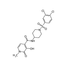 Cn1ccc(C(=O)NC2CCN(S(=O)(=O)c3ccc(Cl)c(Cl)c3)CC2)c(O)c1=O